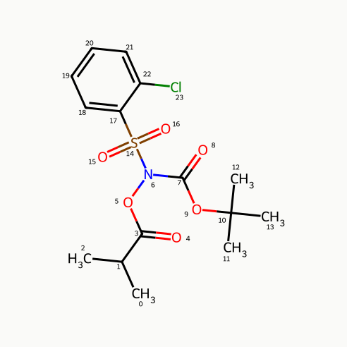 CC(C)C(=O)ON(C(=O)OC(C)(C)C)S(=O)(=O)c1ccccc1Cl